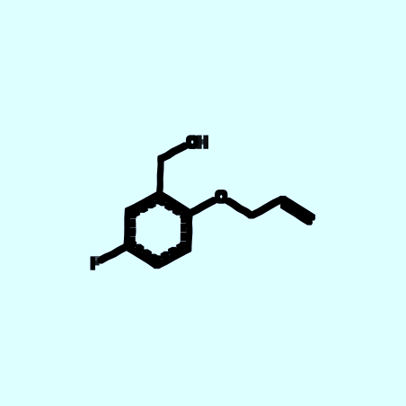 C=CCOc1ccc(F)cc1CO